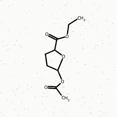 CCOC(=O)C1CCC(OC(C)=O)O1